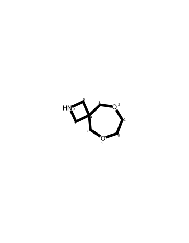 C1COCC2(CNC2)CO1